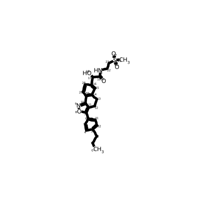 CCCc1ccc(-c2onc3c2CCc2cc(C(O)C(=O)NCCS(C)(=O)=O)ccc2-3)cc1